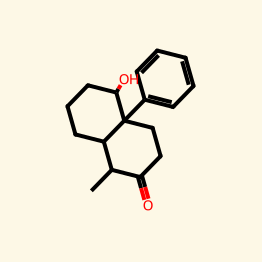 CC1C(=O)CCC2(c3ccccc3)C(O)CCCC12